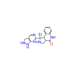 CCC1(c2ncc3c(n2)NNC3)NCC2C(=O)Nc3ccccc3C21